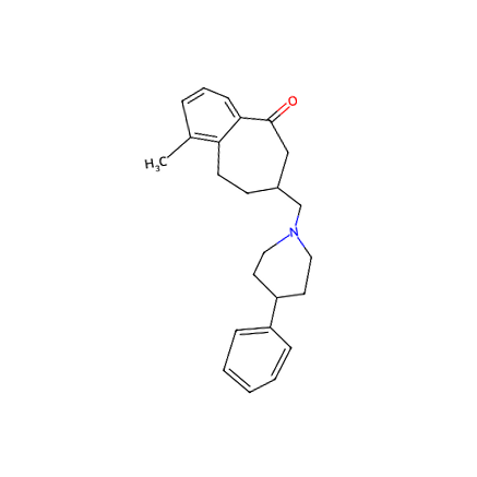 Cc1cccc2c1CCC(CN1CCC(c3ccccc3)CC1)CC2=O